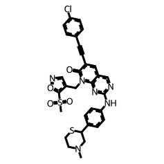 CN1CCSC(c2ccc(Nc3ncc4cc(C#Cc5ccc(Cl)cc5)c(=O)n(Cc5cnoc5S(C)(=O)=O)c4n3)cc2)C1